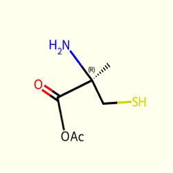 CC(=O)OC(=O)[C@@](C)(N)CS